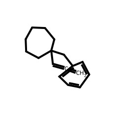 C=C=CC1(Cc2ccccc2)CCCCCC1